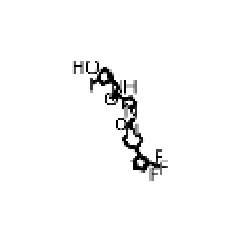 O=C(NC1=CCC(O)C(I)=C1)C1CCN(CC(=O)N2CCC(c3cccc(C(F)(F)F)c3)CC2)C1